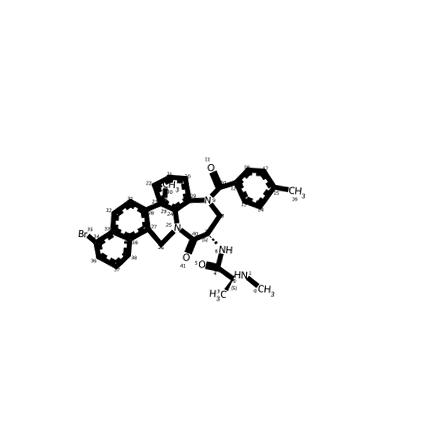 CN[C@@H](C)C(=O)N[C@H]1CN(C(=O)c2ccc(C)cc2)c2ccccc2N(Cc2c(OC)ccc3c(Br)cccc23)C1=O